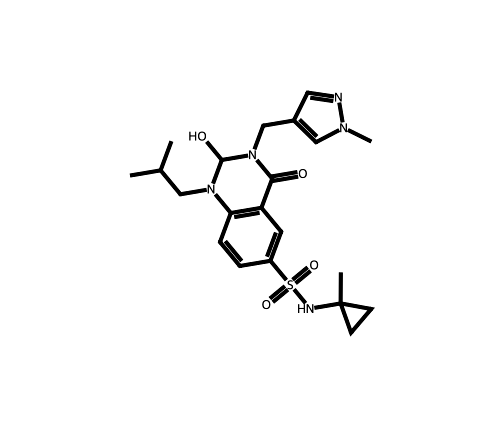 CC(C)CN1c2ccc(S(=O)(=O)NC3(C)CC3)cc2C(=O)N(Cc2cnn(C)c2)C1O